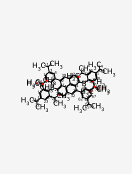 CC(C)c1cc2c(c(C(C)C)c1)B(c1c(C(C)C)cc(C(C)C)cc1C(C)C)c1ccc3cc4c5c(ccc6cc-2c1c3c65)B(c1c(C(C)C)cc(C(C)C)cc1C(C)C)c1c-4cc(C(C)C)cc1C(C)C